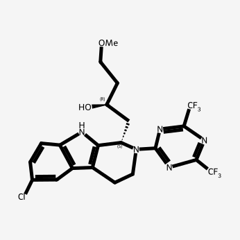 COCC[C@H](O)C[C@H]1c2[nH]c3ccc(Cl)cc3c2CCN1c1nc(C(F)(F)F)nc(C(F)(F)F)n1